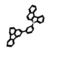 c1cc(-c2cc3c4c(cccc4c2)-c2ccccc2-3)cc(-n2c3ccccc3c3c4ccccc4ccc32)c1